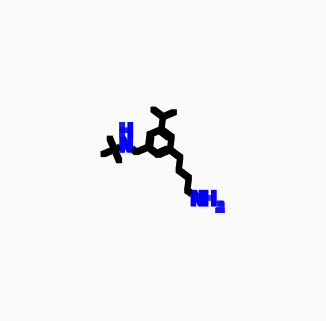 CC(C)c1cc(CCCCN)cc(CNC(C)(C)C)c1